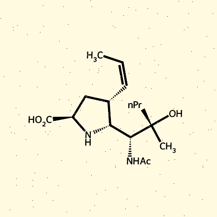 C/C=C\[C@H]1C[C@H](C(=O)O)N[C@H]1[C@@H](NC(C)=O)[C@@](C)(O)CCC